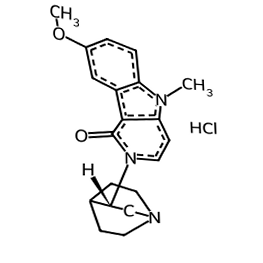 COc1ccc2c(c1)c1c(=O)n([C@@H]3CN4CCC3CC4)ccc1n2C.Cl